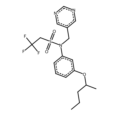 CCCC(C)Oc1cccc(N(Cc2cncnc2)S(=O)(=O)CC(F)(F)F)c1